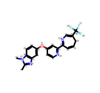 Cc1nc2cc(Oc3ccnc(C4=NC=C(C(F)(F)F)CC=C4)c3)ccc2n1C